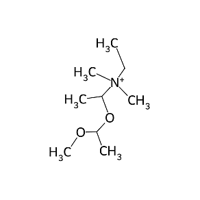 CC[N+](C)(C)C(C)OC(C)OC